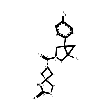 CC(C)c1ccc([C@@]23C[C@@H]2CN(C(=O)[C@H]2C[C@]4(COC(=O)N4)C2)C3)cc1